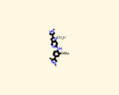 COc1cc(-c2cn(C)nc2C)ccc1Nc1cc2c(cn1)cc(-c1cnn(C)c1)n2C(=O)O